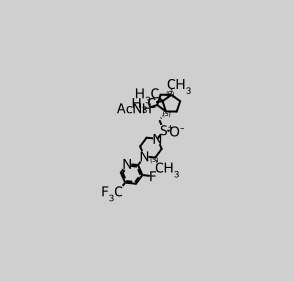 CC(=O)NC1C[C@@]2(C)CC[C@]1(C[S+]([O-])N1CCN(c3ncc(C(F)(F)F)cc3F)[C@@H](C)C1)C2(C)C